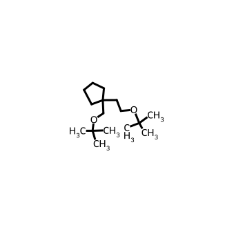 CC(C)(C)OCCC1(COC(C)(C)C)CCCC1